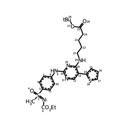 CCOC(=O)N=S(C)(=O)c1ccc(Nc2ncc(-c3cccs3)c(NCCCCC(=O)OC(C)(C)C)n2)cc1